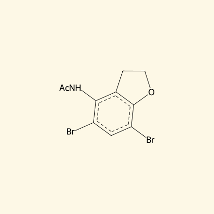 CC(=O)Nc1c(Br)cc(Br)c2c1CCO2